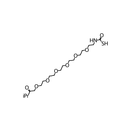 CC(C)C(=O)COCCOCCOCCOCCOCCOCCNC(=O)S